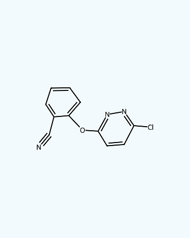 N#Cc1ccccc1Oc1ccc(Cl)nn1